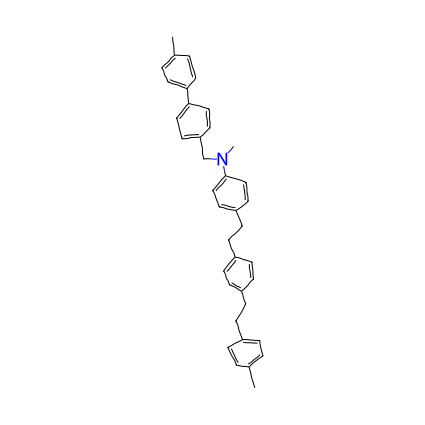 Cc1ccc(CCc2ccc(CCc3ccc(N(C)Cc4ccc(-c5ccc(C)cc5)cc4)cc3)cc2)cc1